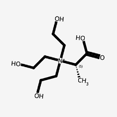 C[C@@H](C(=O)O)[N+](CCO)(CCO)CCO